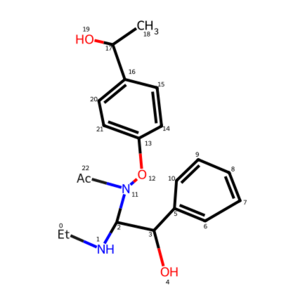 CCNC(C(O)c1ccccc1)N(Oc1ccc(C(C)O)cc1)C(C)=O